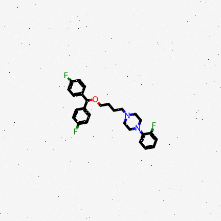 Fc1ccc(C(OCCCCN2CCN(c3ccccc3F)CC2)c2ccc(F)cc2)cc1